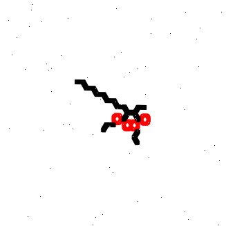 CCCCCCCCCC/C(C(=O)OCCC)=C(\CC)C(=O)OCCC